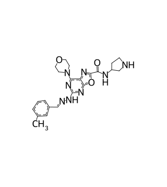 Cc1cccc(/C=N/Nc2nc(N3CCOCC3)c3nc(C(=O)NC4CCNC4)oc3n2)c1